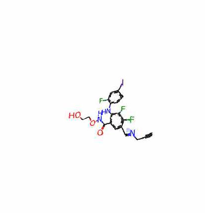 C#CC/N=C/c1cc(C(=O)NOCCO)c(Nc2ccc(I)cc2F)c(F)c1F